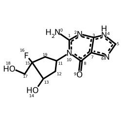 Nc1nc2[nH]cnc2c(=O)n1C1CC(O)C(F)(CO)C1